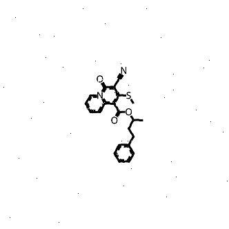 CSc1c(C#N)c(=O)n2ccccc2c1C(=O)OC(C)CCc1ccccc1